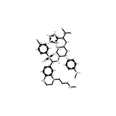 COCCCN1CCOc2ccc(C(O[C@H]3CN[C@@H](CC(c4nnn[nH]4)C(C)C)C[C@@H]3c3ccc(OC)cc3)S(=O)(=O)c3ccc(C)cc3)cc21